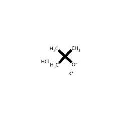 CC(C)(C)[O-].Cl.[K+]